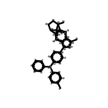 Cc1ccc(N(c2ccccc2)c2ccc(-c3sc(C)c4nc5c(nc34)C3CCC5(C)C3(C)C)cc2)cc1